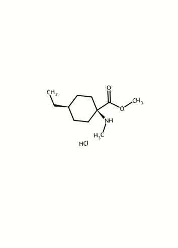 CC[C@H]1CC[C@](NC)(C(=O)OC)CC1.Cl